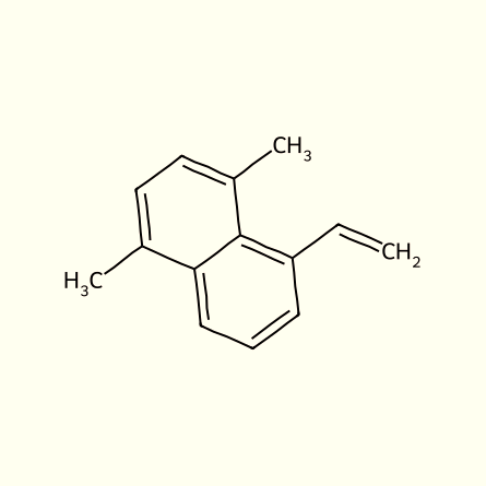 C=Cc1cccc2c(C)ccc(C)c12